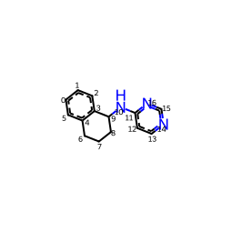 c1ccc2c(c1)CCCC2Nc1ccncn1